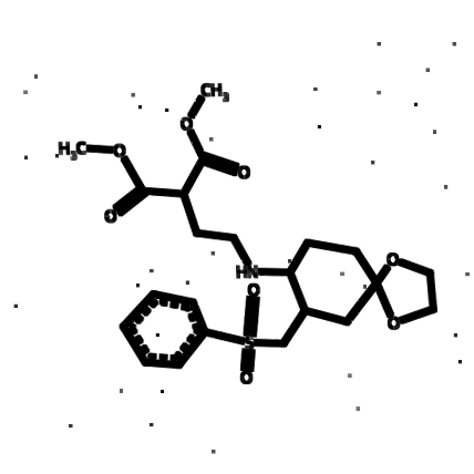 COC(=O)C(CCNC1CCC2(CC1CS(=O)(=O)c1ccccc1)OCCO2)C(=O)OC